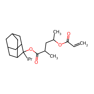 C=CC(=O)OC(C)CC(C)C(=O)OC1(C(C)C)C2CC3CC(C2)CC1C3